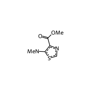 CNc1scnc1C(=O)OC